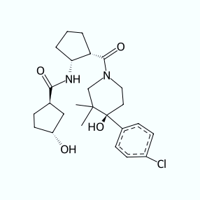 CC1(C)CN(C(=O)[C@H]2CCC[C@H]2NC(=O)[C@@H]2CC[C@@H](O)C2)CC[C@]1(O)c1ccc(Cl)cc1